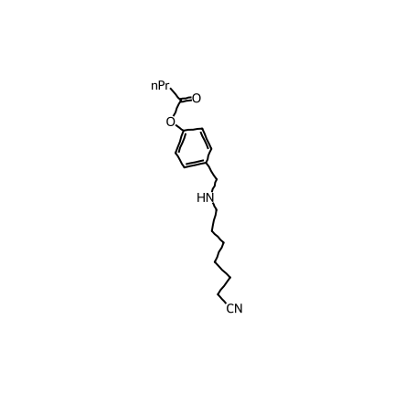 CCCC(=O)Oc1ccc(CNCCCCCCC#N)cc1